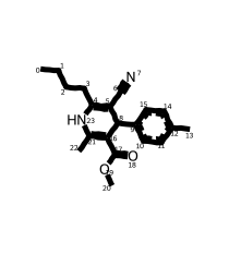 CCCCC1=C(C#N)C(c2ccc(C)cc2)C(C(=O)OC)=C(C)N1